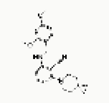 COc1ccc(CNc2cccc(N3CCC4(CC3)CC4)c2C#N)c(OC)c1